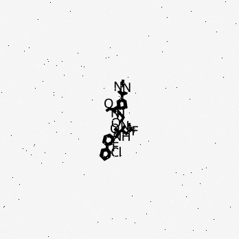 CC(=O)c1nn(CC(=O)N2C[C@H](F)CC2C(=O)Nc2cccc(-c3ccccc3Cl)c2F)c2ccc(-c3cnc(C)nc3)cc12